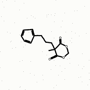 CC1(CCCc2ccccc2)C(=O)OCOC1=O